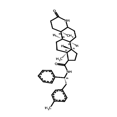 Cc1ccc(C[C@@H](NC(=O)C2CC[C@H]3[C@@H]4CCC5NC(=O)CC[C@]5(C)[C@@H]4CC[C@]23C)c2ccccc2)cc1